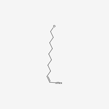 CCCCCC/C=C\CCCCCCCC[O]